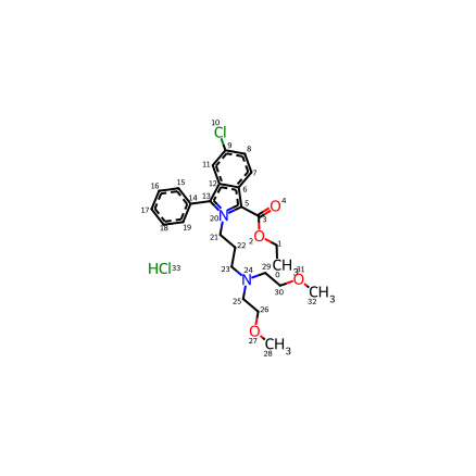 CCOC(=O)c1c2ccc(Cl)cc2c(-c2ccccc2)n1CCCN(CCOC)CCOC.Cl